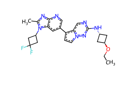 CCO[C@H]1C[C@H](Nc2ncc3c(-c4cnc5nc(C)n(C6CC(F)(F)C6)c5c4)ccn3n2)C1